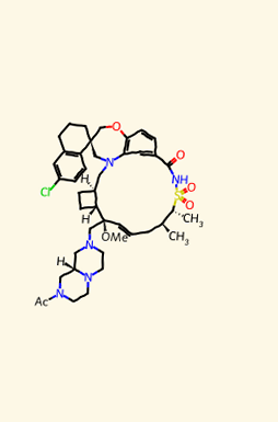 CO[C@]1(CN2CCN3CCN(C(C)=O)C[C@@H]3C2)/C=C/C[C@H](C)[C@@H](C)S(=O)(=O)NC(=O)c2ccc3c(c2)N(C[C@@H]2CC[C@H]21)C[C@@]1(CCCc2cc(Cl)ccc21)CO3